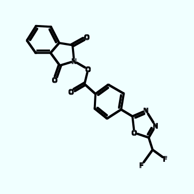 O=C(ON1C(=O)c2ccccc2C1=O)c1ccc(-c2nnc(C(F)F)o2)cc1